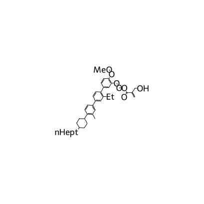 C=C(CO)C(=O)OOOc1cc(-c2ccc(-c3ccc(C4CCC(CCCCCCC)CC4)c(C)c3)cc2CC)ccc1OOC